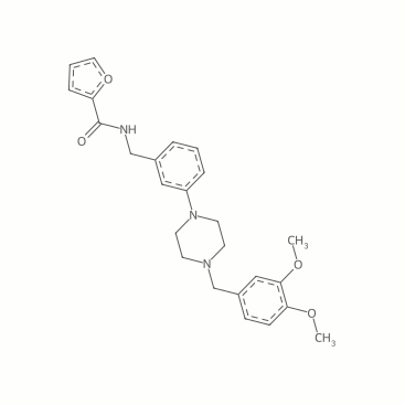 COc1ccc(CN2CCN(c3cccc(CNC(=O)c4ccco4)c3)CC2)cc1OC